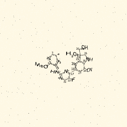 COc1ncccc1Nc1ncc(F)c(-c2cc(C#N)c3c(c2)C(C)(CO)CN3)n1